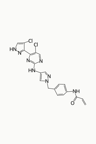 C=CC(=O)Nc1ccc(Cn2cc(Nc3ncc(Cl)c(-c4n[nH]cc4Cl)n3)cn2)cc1